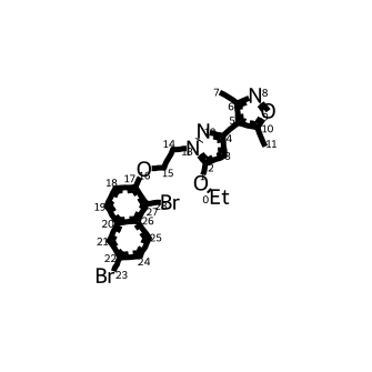 CCOc1cc(-c2c(C)noc2C)nn1CCOc1ccc2cc(Br)ccc2c1Br